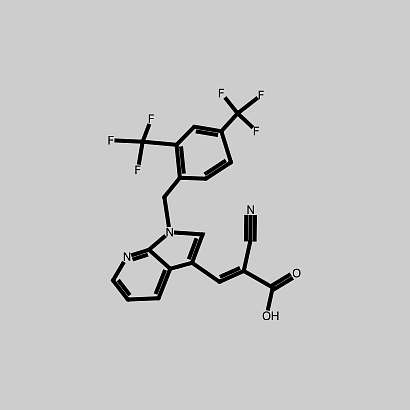 N#C/C(=C\c1cn(Cc2ccc(C(F)(F)F)cc2C(F)(F)F)c2ncccc12)C(=O)O